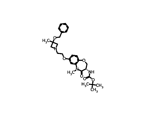 CN1C(=O)[C@@H](NC(=O)OC(C)(C)C)COc2ccc(OCCN3CC(C)(OCc4ccccc4)C3)cc21